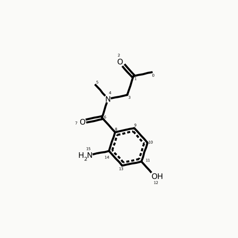 CC(=O)CN(C)C(=O)c1ccc(O)cc1N